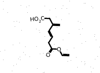 C=COC(=O)CC=CC(=C)CC(=O)O